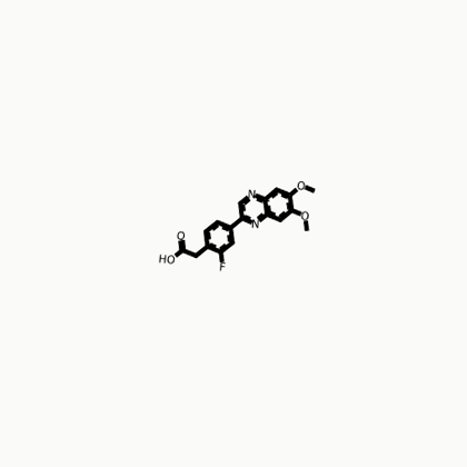 COc1cc2ncc(-c3ccc(CC(=O)O)c(F)c3)nc2cc1OC